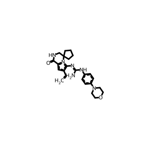 C=Cc1cc2n(c1/N=C(\N)Nc1ccc(N3CCOCC3)cc1)C1(CCCC1)CNC2=O